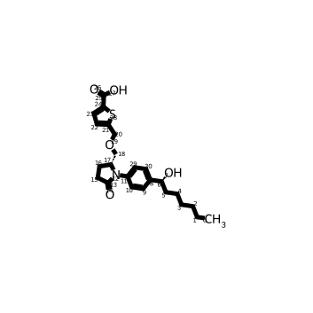 CCCCCC[C@@H](O)c1ccc(N2C(=O)CC[C@@H]2COCc2ccc(C(=O)O)s2)cc1